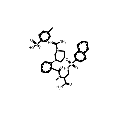 CN(C(=O)c1ccccc1[C@@H]1CCCN(C(=N)N)C1)C(CNS(=O)(=O)c1ccc2ccccc2c1)C(N)=O.Cc1ccc(S(=O)(=O)O)cc1